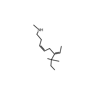 C/C=C(\C/C=C\CCNC)C(C)(C)CC